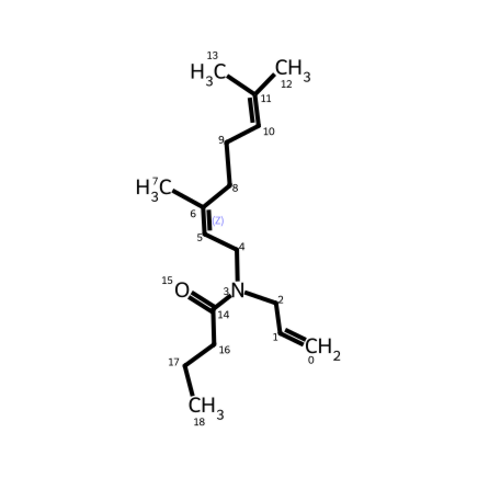 C=CCN(C/C=C(/C)CCC=C(C)C)C(=O)CCC